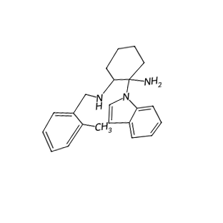 Cc1ccccc1CNC1CCCCC1(N)n1ccc2ccccc21